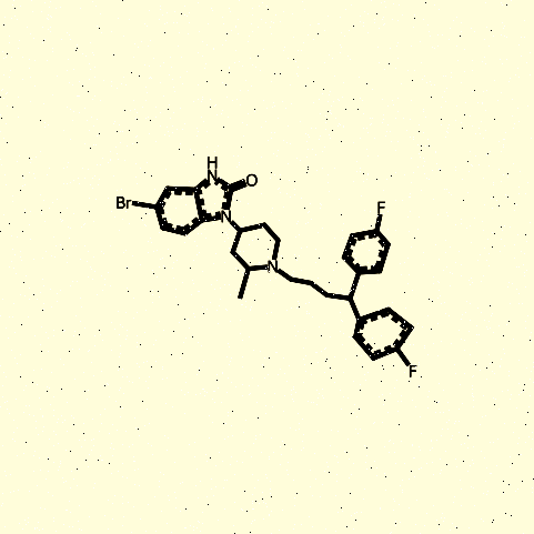 CC1CC(n2c(=O)[nH]c3cc(Br)ccc32)CCN1CCCC(c1ccc(F)cc1)c1ccc(F)cc1